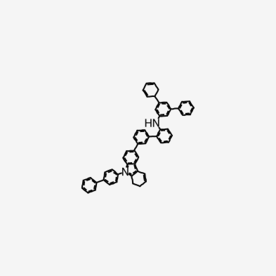 C1=CCC(c2cc(Nc3ccccc3-c3cccc(-c4ccc5c(c4)c4c(n5-c5ccc(-c6ccccc6)cc5)CCC=C4)c3)cc(-c3ccccc3)c2)C=C1